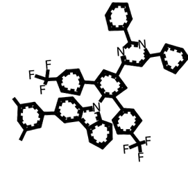 Cc1cc(C)cc(-c2ccc3c(c2)c2ccccc2n3-c2c(-c3ccc(C(F)(F)F)cc3)cc(-c3cc(-c4ccccc4)nc(-c4ccccc4)n3)cc2-c2ccc(C(F)(F)F)cc2)c1